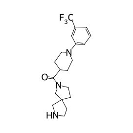 O=C(C1CCN(c2cccc(C(F)(F)F)c2)CC1)N1CCC2(CCNC2)C1